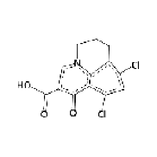 O=C(O)c1cn2c3c(c(Cl)cc(Cl)c3c1=O)CCC2